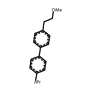 CCCc1ccc(-c2ccc(CCOC)cc2)cc1